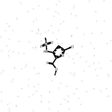 COC(=O)c1sc(Cl)cc1NS(C)(=O)=O